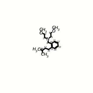 COCCN(CCOC)Cc1ccc[c]c1CCC(C)C